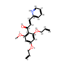 C=CCOc1cc(OC)c(C(=O)C=Cc2ccccn2)c(OCC=C)c1